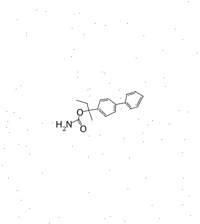 CCC(C)(OC(N)=O)c1ccc(-c2ccccc2)cc1